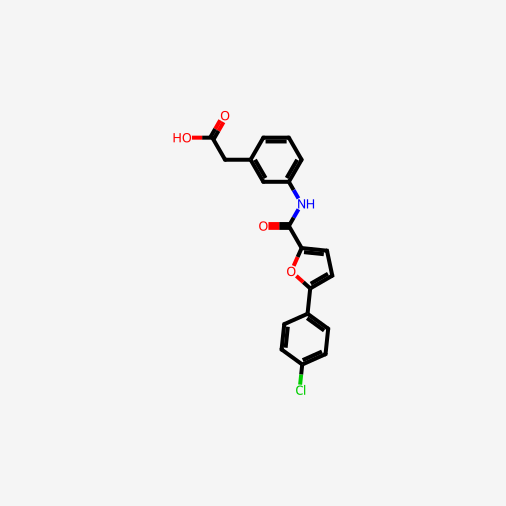 O=C(O)Cc1cccc(NC(=O)c2ccc(-c3ccc(Cl)cc3)o2)c1